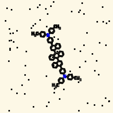 Cc1ccc(N(c2ccc(C)cc2)c2ccc(-c3ccc(-c4c5ccccc5c(-c5ccc(-c6ccc(N(c7ccc(C)cc7)c7ccc(C)cc7)cc6)c6ccccc56)c5ccccc45)c4ccccc34)cc2)cc1